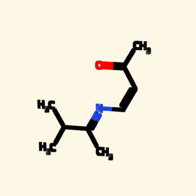 CC(=O)/C=C\N=C(/C)C(C)C